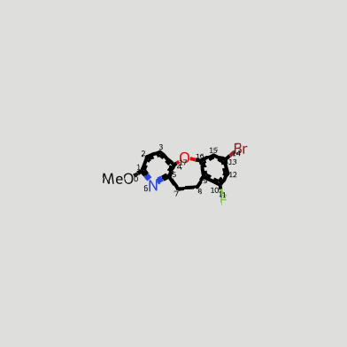 COc1ccc2c(n1)CCc1c(F)cc(Br)cc1O2